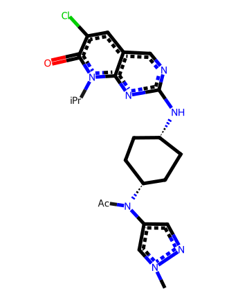 CC(=O)N(c1cnn(C)c1)[C@H]1CC[C@@H](Nc2ncc3cc(Cl)c(=O)n(C(C)C)c3n2)CC1